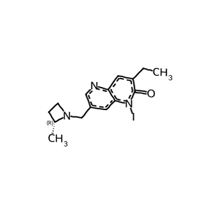 CCc1cc2ncc(CN3CC[C@H]3C)cc2n(I)c1=O